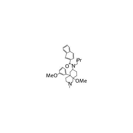 COc1cccc(C23CCN(C)CC2(OC)CCC(N(CC(C)C)C(=O)c2ccc4ccccc4c2)C3)c1